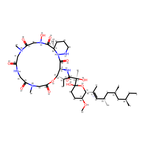 CC[C@@H](C)C[C@H](C)C[C@H](C)/C=C(\C)[C@H]1OC(O)([C@](C)(O)C(=O)N[C@@H]2C(=O)N3NCCC[C@@H]3C(=O)N(O)CC(=O)N(C)CC(=O)NCC(=O)N(C)CC(=O)O[C@H]2C(C)C)CC[C@@H]1OC